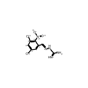 N=C(N)NN=Cc1cc(Cl)cc(Cl)c1[N+](=O)[O-]